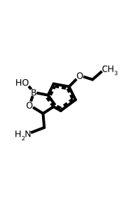 CCOc1ccc2c(c1)B(O)OC2CN